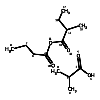 CC(C)C(=O)O.CCCC(=O)OC(=O)C(C)CC